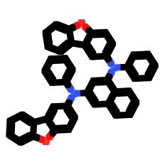 c1ccc(N(c2cc(N(c3ccccc3)c3ccc4oc5ccccc5c4c3)c3ccccc3c2)c2ccc3oc4ccccc4c3c2)cc1